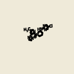 Cc1cnc(C(=O)N2CCCC(Nc3ncc(Cl)cn3)C2)c(-n2nccn2)c1